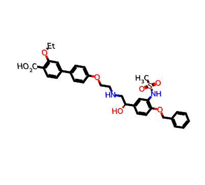 CCOc1cc(-c2ccc(OCCNC[C@H](O)c3ccc(OCc4ccccc4)c(NS(C)(=O)=O)c3)cc2)ccc1C(=O)O